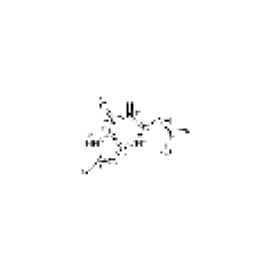 CC(=O)Nc1nc2nc(C)[nH]c2c(=O)[nH]1